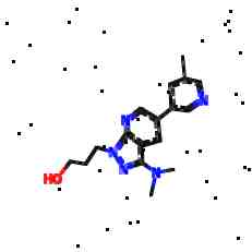 Cc1cncc(-c2cnc3c(c2)c(N(C)C)nn3CCCO)c1